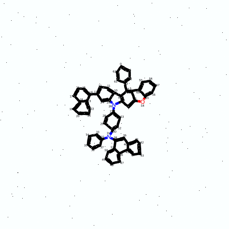 c1ccc(-c2c3c(cc4c2c2ccc(-c5cccc6ccccc56)cc2n4-c2ccc(N(c4ccccc4)c4cc5ccccc5c5ccccc45)cc2)oc2ccccc23)cc1